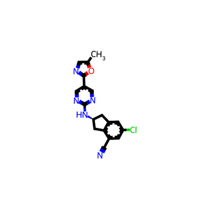 Cc1cnc(-c2cnc(N[C@H]3Cc4cc(Cl)cc(C#N)c4C3)nc2)o1